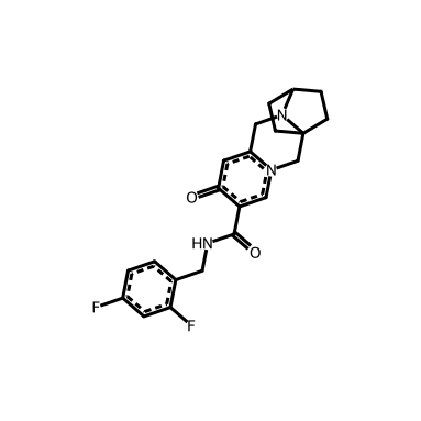 O=C(NCc1ccc(F)cc1F)c1cn2c(cc1=O)CN1C3CCC1(CC3)C2